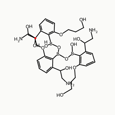 NCC(O)c1cccc(OCCCO)c1B(O)OB(OB(O)c1c(OCCCO)cccc1C(O)CN)c1c(OCCCO)cccc1C(O)CN